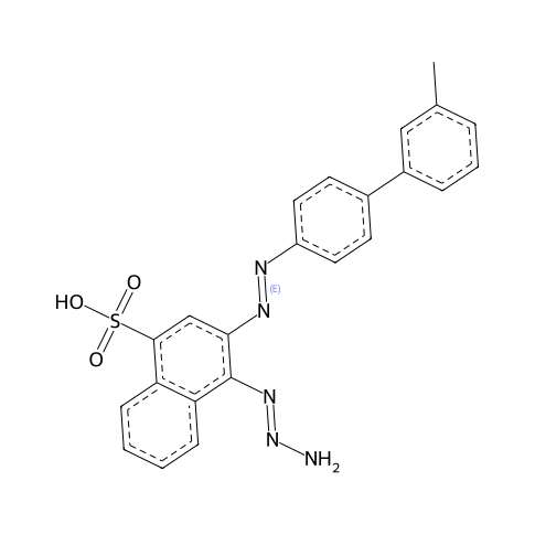 Cc1cccc(-c2ccc(/N=N/c3cc(S(=O)(=O)O)c4ccccc4c3N=NN)cc2)c1